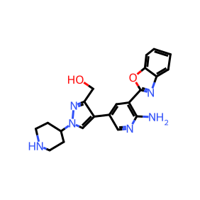 Nc1ncc(-c2cn(C3CCNCC3)nc2CO)cc1-c1nc2ccccc2o1